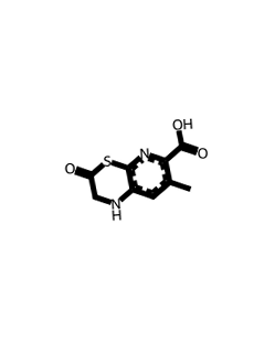 Cc1cc2c(nc1C(=O)O)SC(=O)CN2